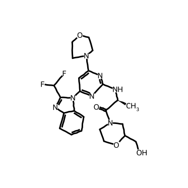 C[C@H](Nc1nc(N2CCOCC2)cc(-n2c(C(F)F)nc3ccccc32)n1)C(=O)N1CCOC(CO)C1